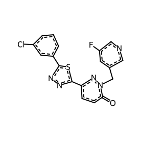 O=c1ccc(-c2nnc(-c3cccc(Cl)c3)s2)nn1Cc1cncc(F)c1